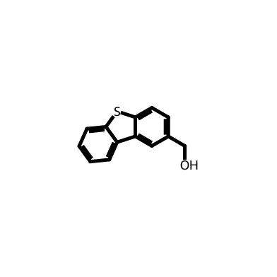 OCc1ccc2sc3ccccc3c2c1